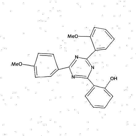 COc1ccc(-c2nc(-c3ccccc3O)nc(-c3ccccc3OC)n2)cc1